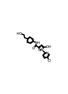 O=C(Nc1ccc(CCO)cc1)c1cc(O)n(-c2ccc(Cl)cn2)n1